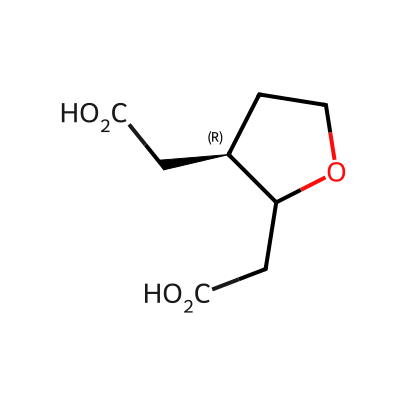 O=C(O)CC1OCC[C@@H]1CC(=O)O